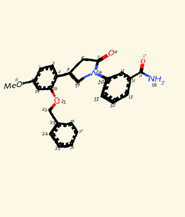 COc1ccc(C2CC(=O)N(c3cccc(C(N)=O)c3)C2)c(OCc2ccccc2)c1